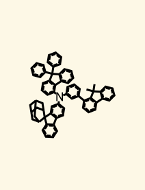 CC1(C)c2ccccc2-c2cccc(-c3cccc(N(c4ccc5c(c4)C4(c6ccccc6-5)C5CC6CC(C5)CC4C6)c4cccc5c4-c4ccccc4C5(c4ccccc4)c4ccccc4)c3)c21